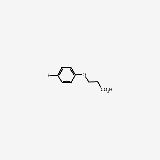 O=C(O)CCOc1ccc(F)cc1